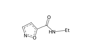 CCNC(=O)c1ccno1